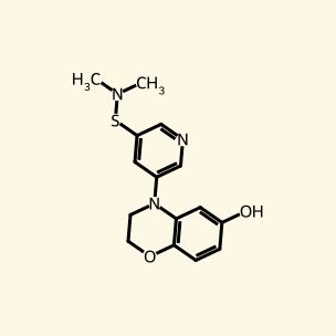 CN(C)Sc1cncc(N2CCOc3ccc(O)cc32)c1